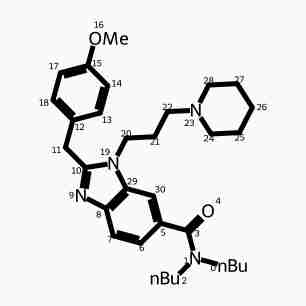 CCCCN(CCCC)C(=O)c1ccc2nc(Cc3ccc(OC)cc3)n(CCCN3CCCCC3)c2c1